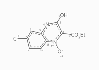 CCOC(=O)c1c(O)nc2cc(Cl)ccc2[n+]1[O-]